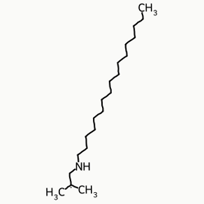 CCCCCCCCCCCCCCCCCNC[C](C)C